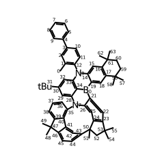 Cc1cc(-c2ccccc2)ccc1N1c2cc3c(cc2B2c4cc5c6cc4N(c4cc(C(C)(C)C)cc1c42)c1cccc2c1-c1cc(ccc1C2(C)C)C6(C)CC5(C)C)C(C)(C)CCC3(C)C